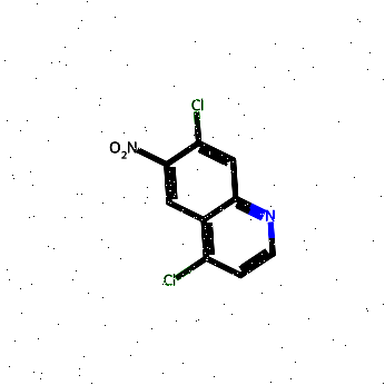 O=[N+]([O-])c1cc2c(Cl)ccnc2cc1Cl